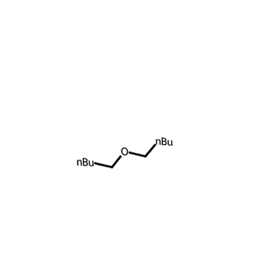 [CH]CCCCOCCCCC